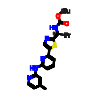 Cc1ccnc(Nc2cccc(-c3cnc([C@@H](NC(=O)OC(C)(C)C)C(C)C)s3)n2)c1